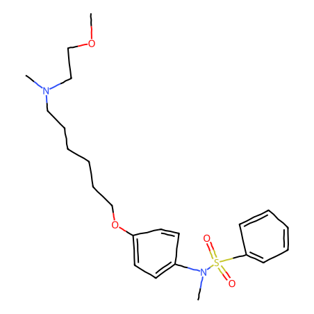 COCCN(C)CCCCCCOc1ccc(N(C)S(=O)(=O)c2ccccc2)cc1